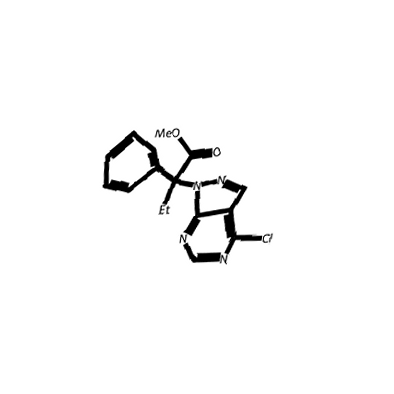 CCC(C(=O)OC)(c1ccccc1)n1ncc2c(Cl)ncnc21